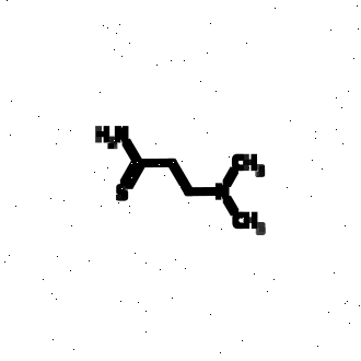 CN(C)CCC(N)=S